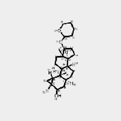 C[C@]12CC[C@H]3[C@@H](CC[C@H]4CC(O)[C@@H]5C[C@@H]5[C@@]43C)[C@@H]1CC[C@@H]2OC1CCCCO1